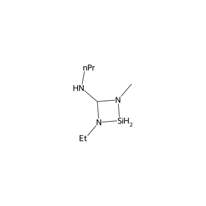 CCCNC1N(C)[SiH2]N1CC